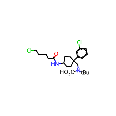 CC(C)(C)N(CC1(c2cccc(Cl)c2)CCC(NC(=O)CCCCCl)CC1)C(=O)O